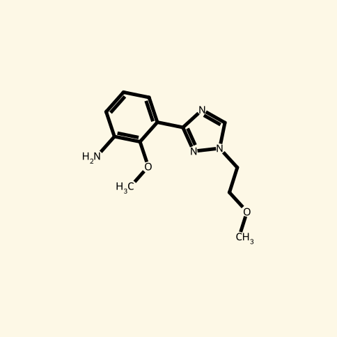 COCCn1cnc(-c2cccc(N)c2OC)n1